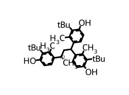 Cc1c(C(C[C@H](C)c2ccc(O)c(C(C)(C)C)c2C)c2ccc(O)c(C(C)(C)C)c2C)ccc(O)c1C(C)(C)C